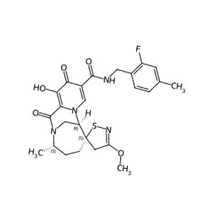 COC1=NS[C@@]2(CC[C@H](C)N3C[C@H]2n2cc(C(=O)NCc4ccc(C)cc4F)c(=O)c(O)c2C3=O)C1